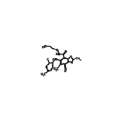 Cc1ccc(Nc2c(C(=O)NOCCO)c3oc(C)nc3c(=O)n2C)c(F)c1